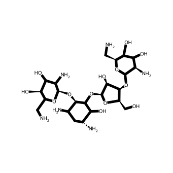 NCC1O[C@H](O[C@@H]2C(N)C[C@@H](N)C(O)C2O[C@@H]2O[C@H](CO)[C@H](OC3O[C@@H](CN)C(O)C(O)[C@H]3N)[C@@H]2O)C(N)C(O)[C@@H]1O